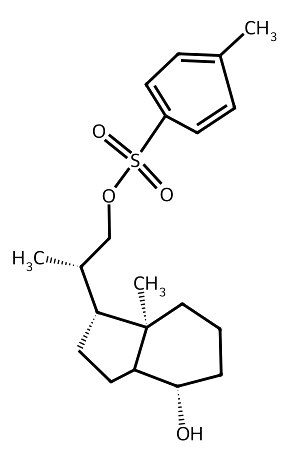 Cc1ccc(S(=O)(=O)OC[C@@H](C)[C@H]2CCC3[C@@H](O)CCC[C@@]32C)cc1